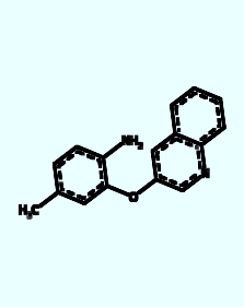 Cc1ccc(N)c(Oc2cnc3ccccc3c2)c1